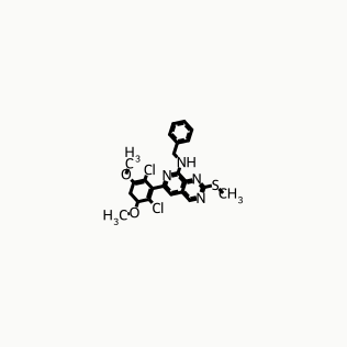 COC1=C(Cl)C(c2cc3cnc(SC)nc3c(NCc3ccccc3)n2)=C(Cl)C(OC)C1